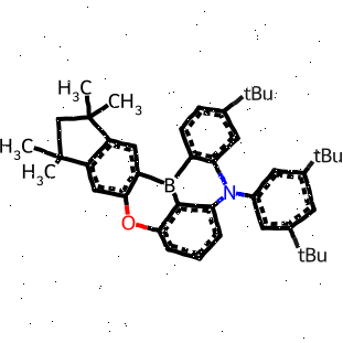 CC(C)(C)c1cc(N2c3cc(C(C)(C)C)ccc3B3c4cc5c(cc4Oc4cccc2c43)C(C)(C)CC5(C)C)cc(C(C)(C)C)c1